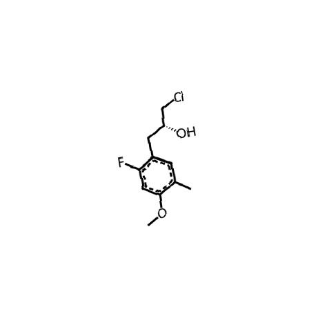 COc1cc(F)c(C[C@@H](O)CCl)cc1C